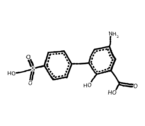 Nc1cc(C(=O)O)c(O)c(-c2ccc(S(=O)(=O)O)cc2)c1